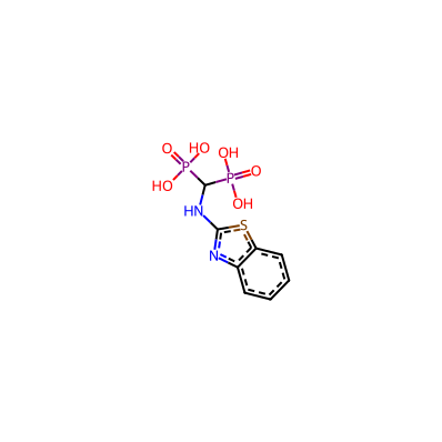 O=P(O)(O)C(Nc1nc2ccccc2s1)P(=O)(O)O